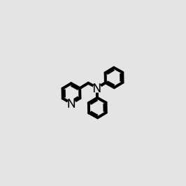 c1ccc(N(Cc2cccnc2)c2ccccc2)cc1